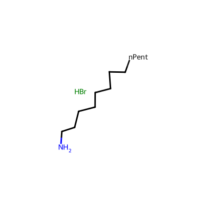 Br.CCCCCCCCCCCCCN